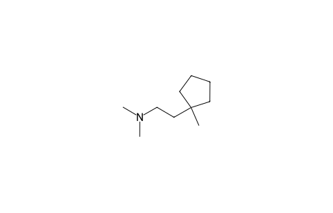 CN(C)CCC1(C)CCCC1